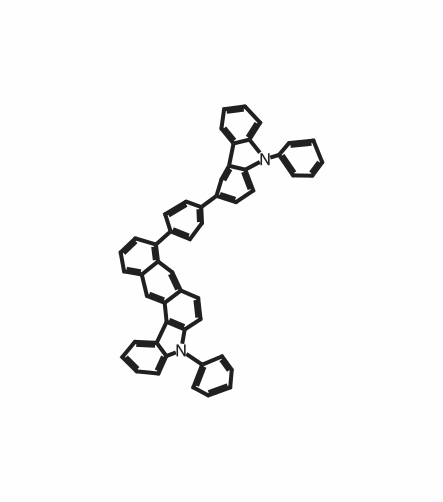 c1ccc(-n2c3ccccc3c3cc(-c4ccc(-c5cccc6cc7c(ccc8c7c7ccccc7n8-c7ccccc7)cc56)cc4)ccc32)cc1